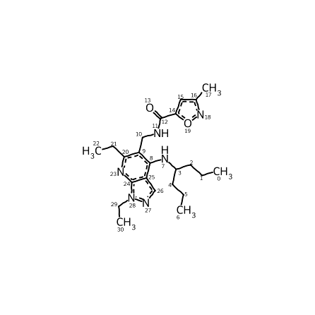 CCCC(CCC)Nc1c(CNC(=O)c2cc(C)no2)c(CC)nc2c1cnn2CC